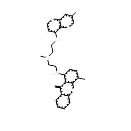 Cc1ccc(NCCN(C)CCNc2ccnc3cc(Cl)cnc23)c2c(=O)c3ccccc3sc12